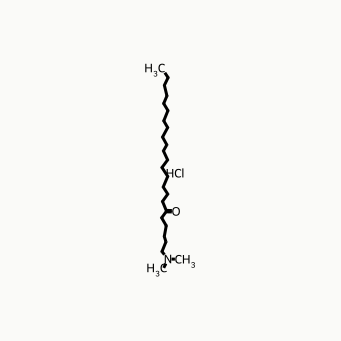 CCCCCCCCCCCCCCCCCC(=O)CCCCCN(C)C.Cl